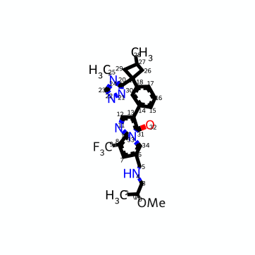 CO[C@@H](C)CNCc1cc(C(F)(F)F)c2ncc(-c3cccc(C4(c5nncn5C)CC(C)C4)c3)c(=O)n2c1